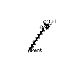 CCCCC/C=C/C/C=C/C/C=C/CCCCC(=O)n1cccc1CC(=O)O